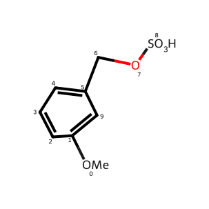 COc1cccc(COS(=O)(=O)O)c1